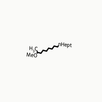 CCCCCCCCCCCCCCC(C)OC